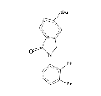 CCc1c(Br)cccc1N1Cc2cc(C(C)(C)C)ccc2C1=O